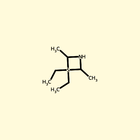 CCS1(CC)C(C)NC1C